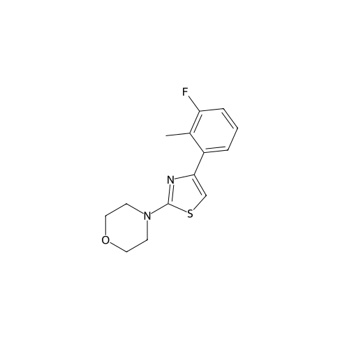 Cc1c(F)cccc1-c1csc(N2CCOCC2)n1